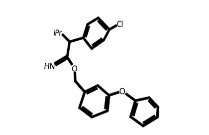 CC(C)C(C(=N)OCc1cccc(Oc2ccccc2)c1)c1ccc(Cl)cc1